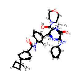 Cc1c(NC(=O)c2ccc(C3(C)CCC3)cc2)cccc1-c1nc(Nc2ccccc2)c(=O)n(C)c1C(=O)N1CCOCC1